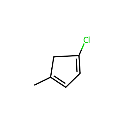 CC1=CC=C(Cl)C1